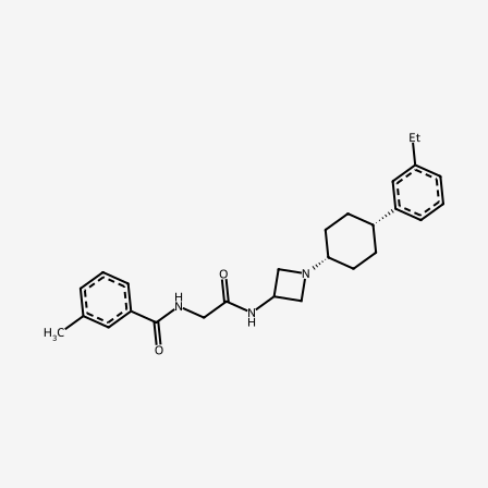 CCc1cccc([C@H]2CC[C@@H](N3CC(NC(=O)CNC(=O)c4cccc(C)c4)C3)CC2)c1